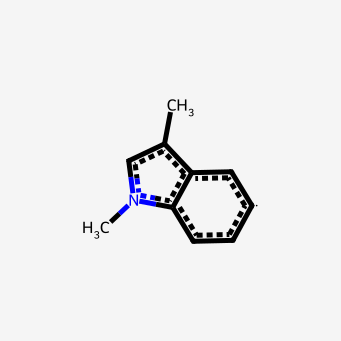 Cc1cn(C)c2cc[c]cc12